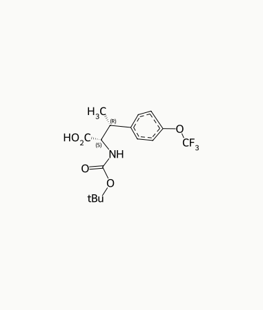 C[C@H](c1ccc(OC(F)(F)F)cc1)[C@H](NC(=O)OC(C)(C)C)C(=O)O